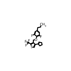 CCCc1cc(F)c(OCc2c(C3=CCCC3)csc2C(F)(F)F)c(F)c1